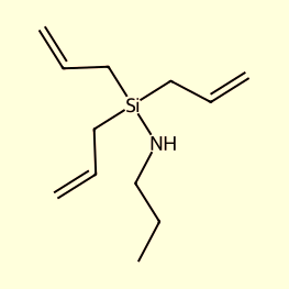 C=CC[Si](CC=C)(CC=C)NCCC